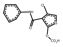 O=C(O)Oc1scc(Cl)c1C(=O)Nc1ccccc1